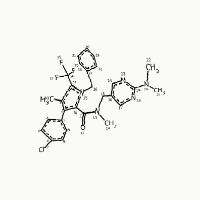 Cc1c(-c2ccc(Cl)cc2)c(C(=O)N(C)Cc2cnc(N(C)C)nc2)n(Cc2ccccc2)c1C(F)(F)F